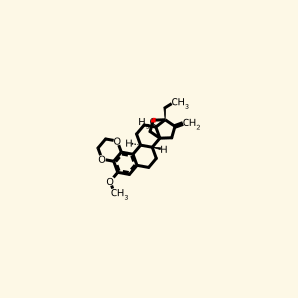 C=C1CC23CC[C@@]1(CC)[C@@]2(C)CC[C@@H]1c2c(cc(OC)c4c2OCCO4)CC[C@H]13